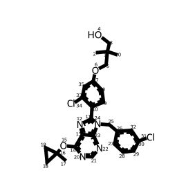 CC(C)(CO)COc1ccc(-c2nc3c(OC4(C)CC4)ncnc3n2Cc2cccc(Cl)c2)c(Cl)c1